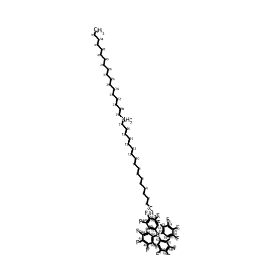 CCCCCCCCCCCCCCCCCC[NH2+]CCCCCCCCCCCCCCCCCC.Fc1cc([B-](c2cc(F)c(F)c(F)c2F)(c2cc(F)c(F)c(F)c2F)c2cc(F)c(F)c(F)c2F)c(F)c(F)c1F